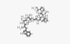 CC(C)C[C@H](NC(=O)[C@H](Cc1c[nH]cn1)NC(=O)CNC(=O)[C@@H](NC(=O)[C@H](C)NC(=O)[C@@H](N)Cc1c[nH]c2ccccc12)C(C)C)C(=O)N1CSC[C@H]1C(N)=O